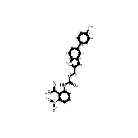 O=C(Nc1cccc([N+](=O)[O-])c1C(=O)O)OCc1cc2cc(-c3ccc(F)cc3)ccc2o1